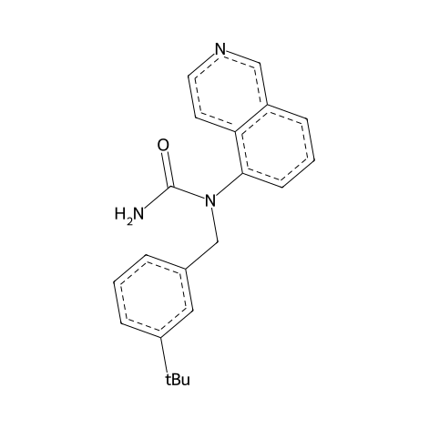 CC(C)(C)c1cccc(CN(C(N)=O)c2cccc3cnccc23)c1